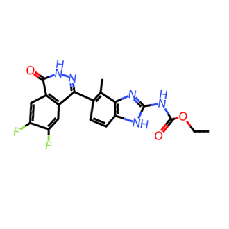 CCOC(=O)Nc1nc2c(C)c(-c3n[nH]c(=O)c4cc(F)c(F)cc34)ccc2[nH]1